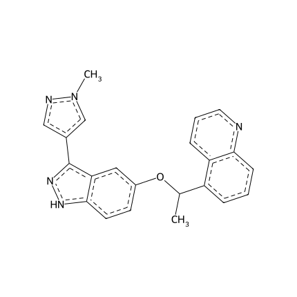 CC(Oc1ccc2[nH]nc(-c3cnn(C)c3)c2c1)c1cccc2ncccc12